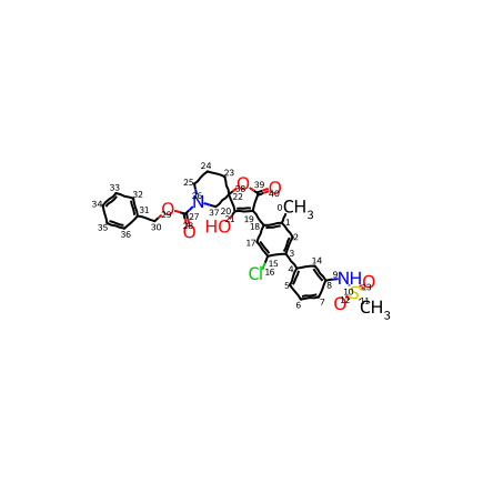 Cc1cc(-c2cccc(NS(C)(=O)=O)c2)c(Cl)cc1C1=C(O)C2(CCCN(C(=O)OCc3ccccc3)C2)OC1=O